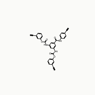 C#Cc1ccc(NC(=O)c2cc(NC(=O)Oc3cccc(C#C)c3)cc(NC(=O)Oc3cccc(C#C)c3)c2)cc1